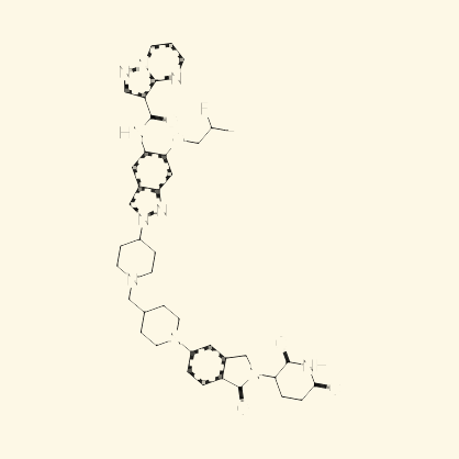 O=C1CCC(N2Cc3cc(N4CCC(CN5CCC(n6cc7cc(NC(=O)c8cnn9cccnc89)c(OCC(F)F)cc7n6)CC5)CC4)ccc3C2=O)C(=O)N1